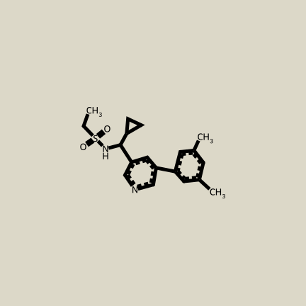 CCS(=O)(=O)NC(c1cncc(-c2cc(C)cc(C)c2)c1)C1CC1